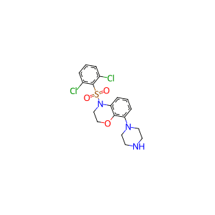 O=S(=O)(c1c(Cl)cccc1Cl)N1CCOc2c(N3CCNCC3)cccc21